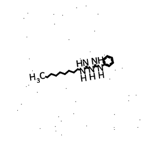 CCCCCCCCCNC(=N)NC(=N)Nc1ccccc1